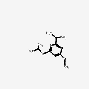 COc1cc(OC(C)C)nc(C(C)C)n1